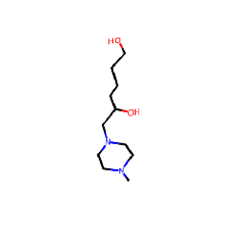 CN1CCN(CC(O)CCCCO)CC1